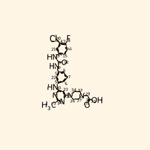 Cc1nc(Nc2cccc(NC(=O)Nc3ccc(F)c(Cl)c3)c2)cc(N2CCN(CC(=O)O)CC2)n1